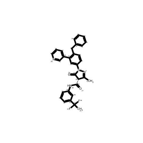 CC1=NN(c2ccc(Cc3ccccc3)c(-c3cccnc3)c2)C(=O)[C@H]1C(=O)Nc1cccc(C(C)(F)F)c1